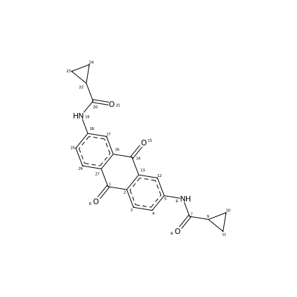 O=C1c2ccc(NC(=O)C3CC3)cc2C(=O)c2cc(NC(=O)C3CC3)ccc21